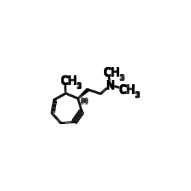 CC1C=CCC#C[C@@H]1CCN(C)C